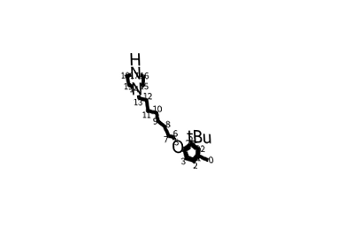 Cc1ccc(OCCCCCCCCN2CCNCC2)c(C(C)(C)C)c1